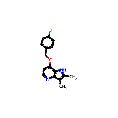 Cc1[nH]c2c(OCc3ccc(Cl)cc3)ccnc2c1C